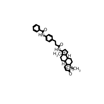 CN1C(=O)C=C[C@@]2(C)C1CC[C@@H]1[C@H]2CC[C@]2(C)C(NC(=O)CCc3ccc(NC(=O)c4ccccc4)cc3)CC[C@@H]12